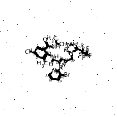 Cc1cc(Cl)cc(C(=O)NC(C)C)c1NC(=O)c1cc(Cn2nnnc2C(F)(F)C(F)(F)F)nn1-c1ncccc1Br